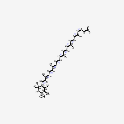 CC(C)=C\C=C/C(C)=C/C=C/C(C)=C/C=C/C(C)=C/C=C/C=C(C)/C=C/C=C(C)/C=C/C1=C(C)C(=O)C(O)CC1(C)C